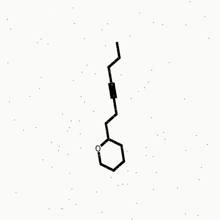 CCCC#CCCC1CCCCO1